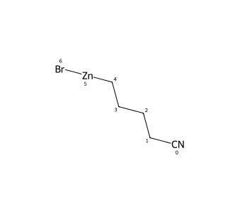 N#CCCC[CH2][Zn][Br]